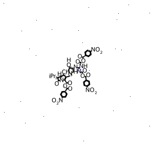 CC(C)[C@H]1C(=O)N2C(C(=O)OC(=O)c3ccc([N+](=O)[O-])cc3)=C(CN3C[C@@H](O)[C@H](N/C(=N/C(=O)OC(=O)c4ccc([N+](=O)[O-])cc4)NC(=O)OC(=O)c4ccc([N+](=O)[O-])cc4)C3)[C@H](C)[C@H]12